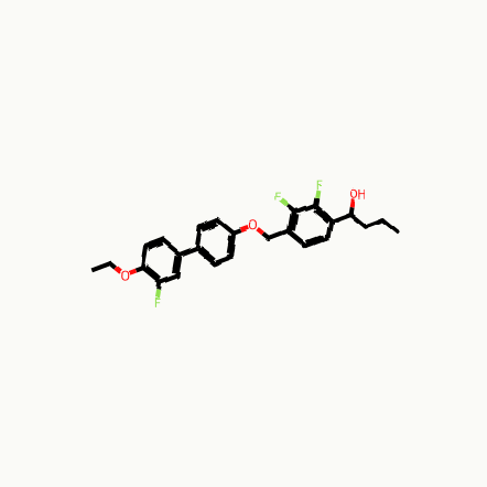 CCCC(O)c1ccc(COc2ccc(-c3ccc(OCC)c(F)c3)cc2)c(F)c1F